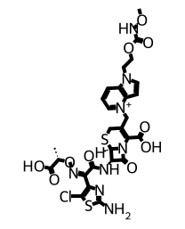 CONC(=O)OCCn1ccc2c1ccc[n+]2CC1=C(C(=O)O)N2C(=O)[C@@H](NC(=O)/C(=N\O[C@@H](C)C(=O)O)c3nc(N)sc3Cl)[C@H]2SC1